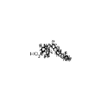 C[C@H](Cn1c(CN2CC[C@H](Oc3ccnc(COc4ncc(F)cc4F)n3)C[C@@H]2C)nc2c(F)cc(C(=O)O)cc21)OC(F)F